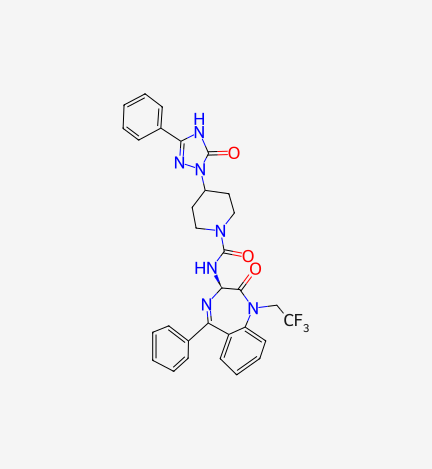 O=C(N[C@@H]1N=C(c2ccccc2)c2ccccc2N(CC(F)(F)F)C1=O)N1CCC(n2nc(-c3ccccc3)[nH]c2=O)CC1